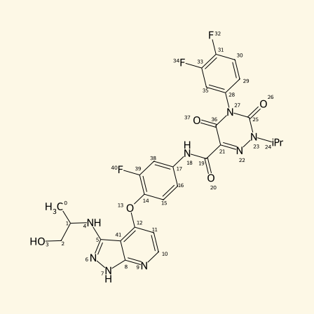 CC(CO)Nc1n[nH]c2nccc(Oc3ccc(NC(=O)c4nn(C(C)C)c(=O)n(-c5ccc(F)c(F)c5)c4=O)cc3F)c12